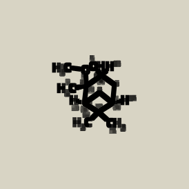 CO[C@]1(C)[C@H](O)C[C@@H]2C[C@H]1C2(C)C